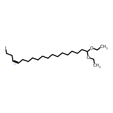 CCOC(CCCCCCCCCCCCC/C=C\CCI)OCC